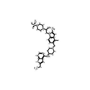 Cc1c(CN2CCC(Nc3ncnc4sc(CC(F)(F)F)cc34)CC2)ccc2c1cc(C#N)n2CC(C(C)C)N1CCN(S(C)(=O)=O)CC1